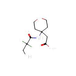 CCC(F)(F)C(=O)NC1(CC(=O)O)CCOCC1